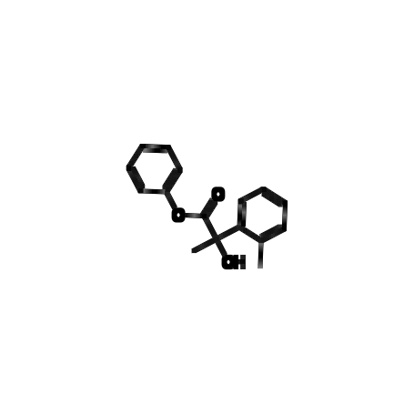 Cc1ccccc1C(C)(O)C(=O)Oc1ccccc1